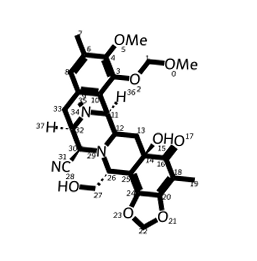 COCOc1c(OC)c(C)cc2c1[C@H]1C3C[C@]4(O)C(=O)C(C)=C5OCOC5=C4[C@H](CO)N3[C@@H](C#N)[C@@H](C2)N1C